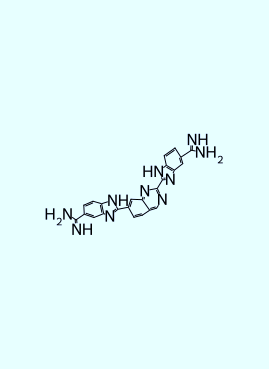 N=C(N)c1ccc2[nH]c(-c3ccc4cnc(-c5nc6cc(C(=N)N)ccc6[nH]5)nc4c3)nc2c1